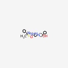 Cc1sc(NC(=O)c2ccc(N3CCC(O)(c4ccccc4)CC3)nc2)nc1-c1ccccc1